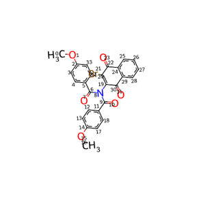 COc1ccc(C(=O)N(C(=O)c2ccc(OC)cc2)C2=C(Br)C(=O)c3ccccc3C2=O)cc1